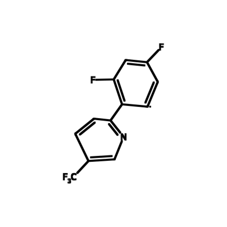 Fc1c[c]c(-c2ccc(C(F)(F)F)cn2)c(F)c1